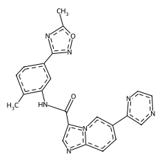 Cc1nc(-c2ccc(C)c(NC(=O)c3cnc4ccc(-c5cnccn5)cn34)c2)no1